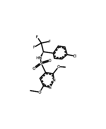 COc1cc(S(=O)(=O)N[C@H](c2ccc(Cl)cc2)C(F)(F)F)c(OC)nn1